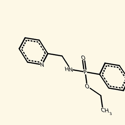 CCOP(=O)(NCc1ccccn1)c1ccccc1